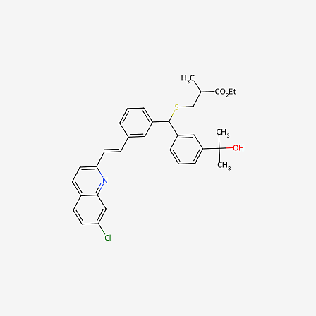 CCOC(=O)C(C)CSC(c1cccc(C=Cc2ccc3ccc(Cl)cc3n2)c1)c1cccc(C(C)(C)O)c1